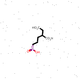 O=C(O)CC(CCC[PH](=O)O)C(=O)O